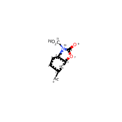 CC(=O)c1ccc2c(c1)oc(=O)n2C(=O)O